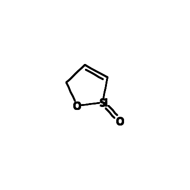 O=[Si]1C=CCO1